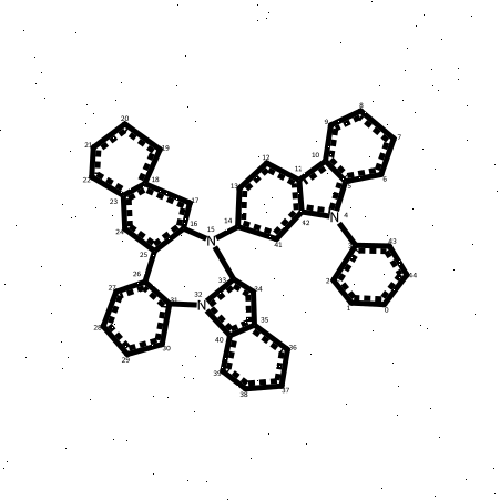 c1ccc(-n2c3ccccc3c3ccc(N4c5cc6ccccc6cc5-c5ccccc5-n5c4cc4ccccc45)cc32)cc1